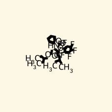 CCC(CC)COC(=O)C[C@H](NP(=O)(Oc1ccccc1)Oc1c(F)c(F)c(F)c(F)c1F)C(=O)OCC(CC)CC